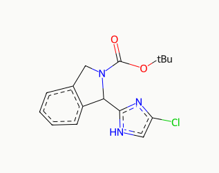 CC(C)(C)OC(=O)N1Cc2ccccc2C1c1nc(Cl)c[nH]1